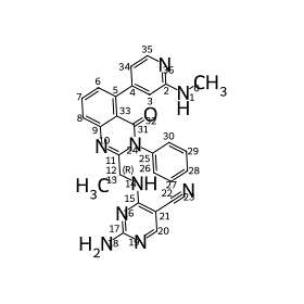 CNc1cc(-c2cccc3nc([C@@H](C)Nc4nc(N)ncc4C#N)n(-c4ccccc4)c(=O)c23)ccn1